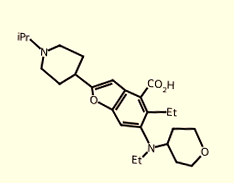 CCc1c(N(CC)C2CCOCC2)cc2oc(C3CCN(C(C)C)CC3)cc2c1C(=O)O